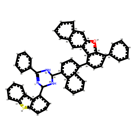 c1ccc(C2=NC(c3cccc4sc5ccccc5c34)NC(c3ccc(-c4ccc(-c5ccccc5)c5oc6cc7ccccc7cc6c45)c4ccccc34)N2)cc1